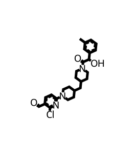 Cc1cccc(C(O)C(=O)N2CCC(CC3CCN(c4ccc(C=O)c(Cl)n4)CC3)CC2)c1